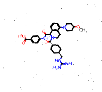 COC1CCN(c2cccc3c2CCN(C(=O)[C@H]2CC[C@H](CNC(=N)N)CC2)C3C(=O)Nc2ccc(C(=O)O)cc2)CC1